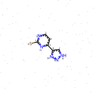 [S]c1nccc(-c2c[nH]nn2)n1